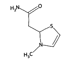 CN1C=CSC1CC(N)=O